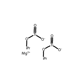 CC(C)[O][Ti](=[O])[O-].CC(C)[O][Ti](=[O])[O-].[Mg+2]